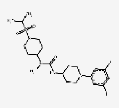 CC(C)S(=O)(=O)N1CCC(N(C)C(=O)NC2CCN(c3cc(F)cc(F)c3)CC2)CC1